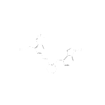 C=Cc1ccc(CCC2CCCCN2Cc2cccc3c2ccn3C)cc1CC